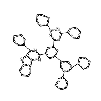 c1ccc(-c2cc(-c3ccccc3)cc(-c3cc(-c4cc(-c5ccccc5)nc(-c5ccccc5)n4)cc(-c4nc(-c5ccccc5)c5sc6ccccc6c5n4)c3)c2)cc1